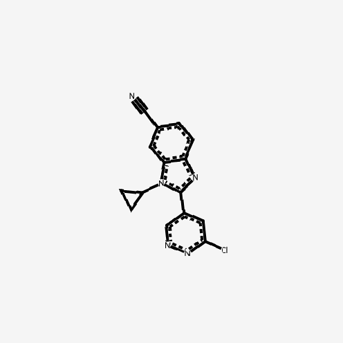 N#Cc1ccc2nc(-c3cnnc(Cl)c3)n(C3CC3)c2c1